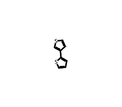 [c]1cscc1-c1cccs1